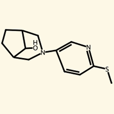 CSc1ccc(N2CC3CCC(C2)C3O)cn1